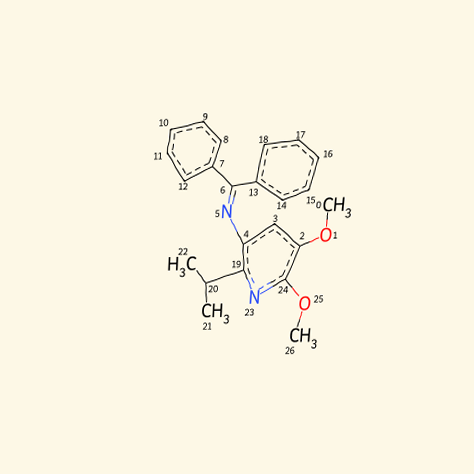 COc1cc(N=C(c2ccccc2)c2ccccc2)c(C(C)C)nc1OC